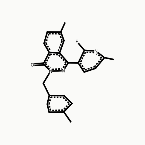 Cc1ccc(Cn2nc(-c3ccc(C)nc3F)c3cc(C)ccc3c2=O)cc1